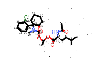 CC(=O)N[C@@H](CCC(C)C)C(=O)OC(C)OC(=O)N(C)[C@@]1(c2ccccc2Cl)CCCCC1=O